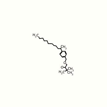 CCCCCCCCCCC(C)c1ccc(COCC([O])C(C)(C)C)cc1